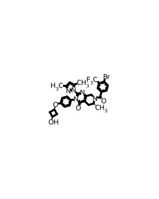 Cc1cc(C)n(-c2nc3c(c(=O)n2-c2ccc(O[C@H]4C[C@@H](O)C4)cc2)C[C@@H](C)N(C(=O)c2ccc(Br)c(C(F)(F)F)c2)C3)n1